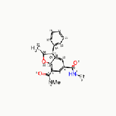 CCNC(=O)c1cc(C(=O)NC)c2c(c1)[C@H](c1ccccc1)C(C)O2